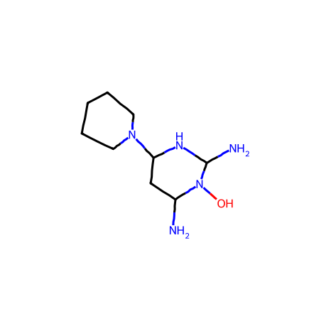 NC1CC(N2CCCCC2)NC(N)N1O